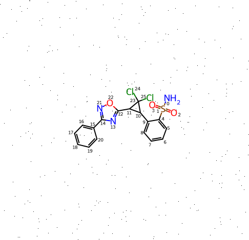 NS(=O)(=O)c1ccccc1C1C(c2nc(-c3ccccc3)no2)C1(Cl)Cl